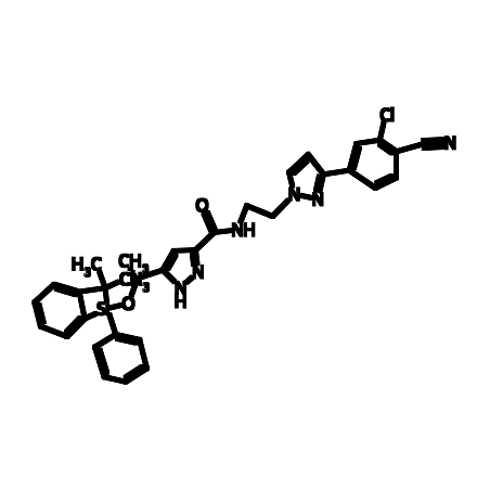 C[C@@H](O[Si]1(c2ccccc2)c2ccccc2C1(C)C)c1cc(C(=O)NCCn2ccc(-c3ccc(C#N)c(Cl)c3)n2)n[nH]1